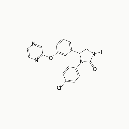 O=C1N(I)CC(c2cccc(Oc3cnccn3)c2)N1c1ccc(Cl)cc1